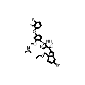 CCOCn1c(C(=O)c2cnn(-c3ccc(Oc4cccc(F)c4F)cc3OC)c2N)cc2cc(Br)ccc21.C[SiH](C)C